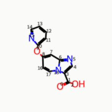 O=C(O)c1cnc2cc(Oc3ccccn3)ccn12